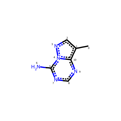 Cc1cnn2c(N)ncnc12